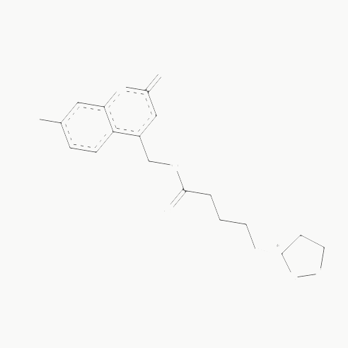 O=C(CCCC[C@@H]1CCSS1)OCc1cc(=O)oc2cc(O)ccc12